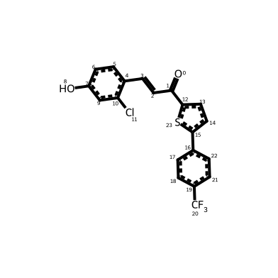 O=C(C=Cc1ccc(O)cc1Cl)c1ccc(-c2ccc(C(F)(F)F)cc2)s1